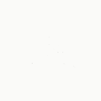 Cc1ncnc2c1ccn2[C@@H]1C[C@H](Oc2ccc(Cl)cc2O)[C@H]2OC(C)(C)O[C@H]21